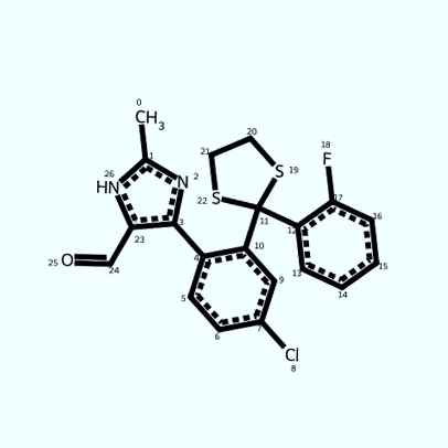 Cc1nc(-c2ccc(Cl)cc2C2(c3ccccc3F)SCCS2)c(C=O)[nH]1